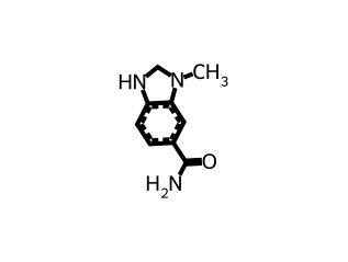 CN1CNc2ccc(C(N)=O)cc21